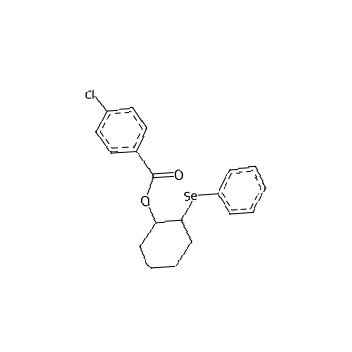 O=C(OC1CCCCC1[Se]c1ccccc1)c1ccc(Cl)cc1